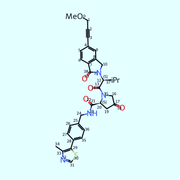 COCC#Cc1ccc2c(c1)CN([C@H](C(=O)N1CC(=O)C[C@H]1C(=O)NCc1ccc(-c3scnc3C)cc1)C(C)C)C2=O